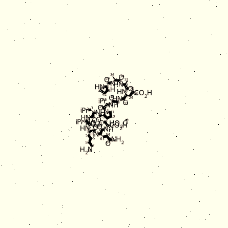 CC(=O)O.CC(C)C[C@H](NC(=O)[C@@H]1CCCN1C(=O)[C@@H](NC(=O)CNC(=O)[C@H](CCC(=O)O)NC(=O)[C@H](C)NC(=O)[C@H](C)NC(=O)[C@@H]1CCCN1)C(C)C)C(=O)N[C@H](C(=O)N[C@@H](CCCCN)C(=O)N[C@@H](CCC(N)=O)C(=O)N[C@@H](CC(=O)O)C(=O)O)C(C)C